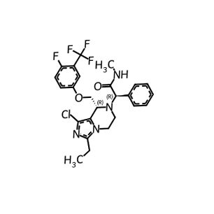 CCc1nc(Cl)c2n1CCN([C@@H](C(=O)NC)c1ccccc1)[C@H]2COc1ccc(F)c(C(F)(F)F)c1